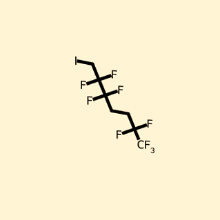 FC(F)(F)C(F)(F)CCC(F)(F)C(F)(F)CI